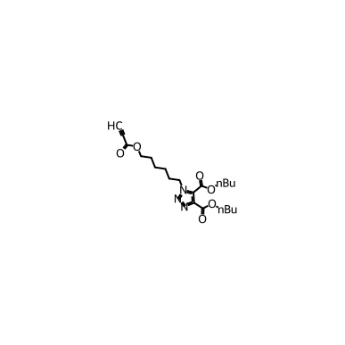 C#CC(=O)OCCCCCCn1nnc(C(=O)OCCCC)c1C(=O)OCCCC